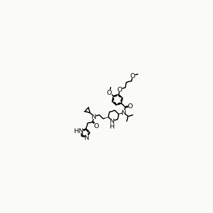 COCCCOc1cc(C(=O)N(C(C)C)[C@@H]2CC[C@H](CCN(C(=O)Cc3cnc[nH]3)C3CC3)NC2)ccc1OC